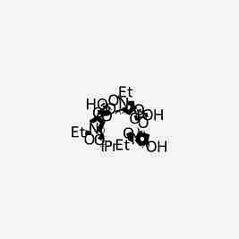 CCC(=O)N1C[C@H](O)C[C@H]1COP(=O)(O)O[C@@H]1C[C@@H](COP(=O)(O)O[C@@H]2C[C@@H](COC(C)C)N(C(=O)CC)C2)N(C(=O)CC)C1